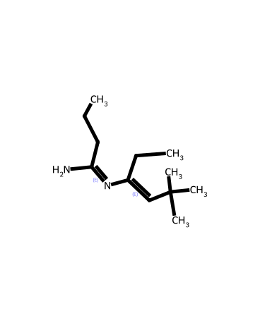 CCC/C(N)=N\C(=C\C(C)(C)C)CC